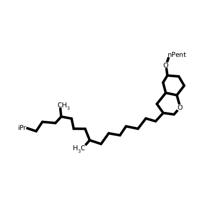 CCCCCOC1CCC2OCC(CCCCCCCC(C)CCCC(C)CCCC(C)C)CC2C1